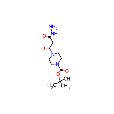 CC(C)(C)OC(=O)N1CCN(C(=O)CC(=O)NN)CC1